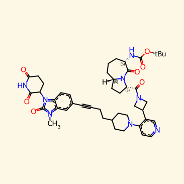 Cn1c(=O)n(C2CCC(=O)NC2=O)c2ccc(C#CCCC3CCN(c4ccncc4C4CN(C(=O)[C@@H]5CC[C@@H]6CCC[C@H](NC(=O)OC(C)(C)C)C(=O)N65)C4)CC3)cc21